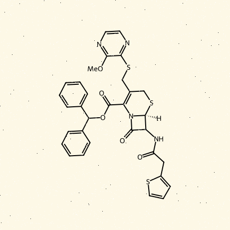 COc1nccnc1SCC1=C(C(=O)OC(c2ccccc2)c2ccccc2)N2C(=O)C(NC(=O)Cc3cccs3)[C@@H]2SC1